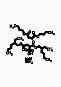 CCCCC(CC)COC(=O)CC(C(=O)OCC(CC)CCCC)S(=O)(=O)O.CCCCOC(=O)/C=C\C(=O)OCCCC.[NaH].[SnH2]